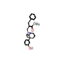 COC(=O)C(Cc1ccccc1)CN1CCC2(c3cccc(O)c3)CCCC1[C@@H]2C